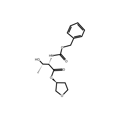 C[C@H](O)[C@H](NC(=O)OCc1ccccc1)C(=O)O[C@H]1CCOC1